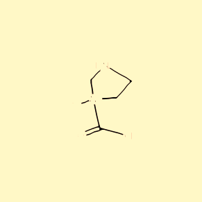 O=C(Cl)[N+]1([O-])CCNC1